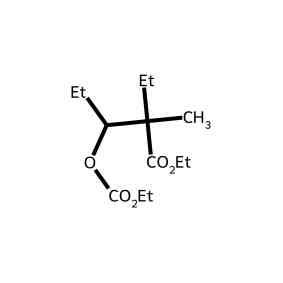 CCOC(=O)OC(CC)C(C)(CC)C(=O)OCC